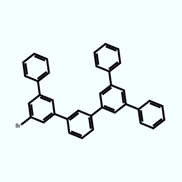 Brc1cc(-c2ccccc2)cc(-c2cccc(-c3cc(-c4ccccc4)cc(-c4ccccc4)c3)c2)c1